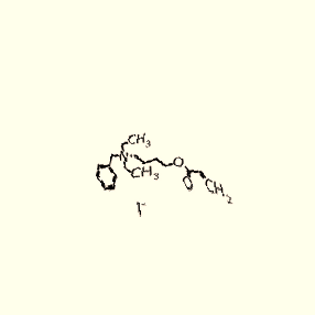 C=CC(=O)OCCCC[N+](CC)(CC)Cc1ccccc1.[I-]